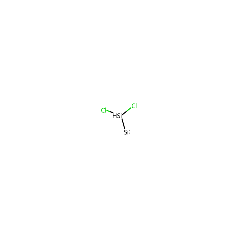 [Si][SiH](Cl)Cl